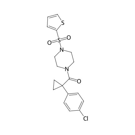 O=C(N1CCN(S(=O)(=O)c2cccs2)CC1)C1(c2ccc(Cl)cc2)CC1